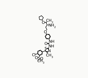 C=C(OC1CCCC1)[C@@H](N)CCOc1ccc(NC(=O)Nc2nc(C)c(-c3ccc(Cl)c(S(C)(=O)=O)c3)s2)cc1